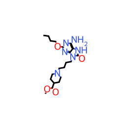 CCCCOc1nc(N)c2[nH]c(=O)n(CCCCN3CCC(C(=O)OC)CC3)c2n1